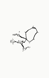 C[SiH](C)[C]1([PoH])CCCCO1